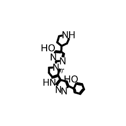 C[C@@H]1c2c([nH]c3nnc(-c4ccccc4O)cc23)CCN1c1ncc(C2CCNCC2)c(O)n1